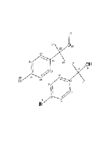 CC(C)(O)c1ccc(Br)cc1.COC(C)(C)c1ccc(Br)cc1